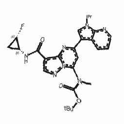 CC(C)n1cc(-c2cc(N(C)C(=O)OC(C)(C)C)n3ncc(C(=O)N[C@@H]4C[C@@H]4F)c3n2)c2cccnc21